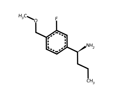 CCC[C@H](N)c1ccc(COC)c(F)c1